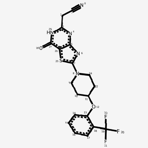 N#CCc1nc2nc(N3CCC(Oc4ccccc4C(F)(F)F)CC3)sc2c(=O)[nH]1